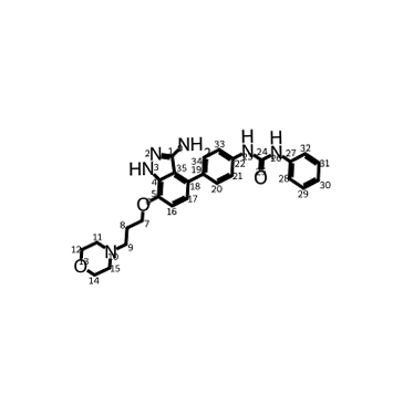 Nc1n[nH]c2c(OCCCN3CCOCC3)ccc(-c3ccc(NC(=O)Nc4ccccc4)cc3)c12